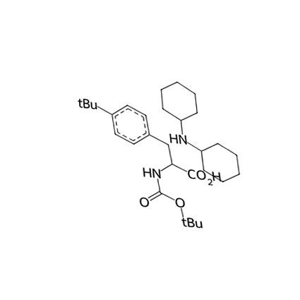 C1CCC(NC2CCCCC2)CC1.CC(C)(C)OC(=O)NC(Cc1ccc(C(C)(C)C)cc1)C(=O)O